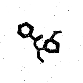 CCN(CC(=O)c1ccccc1)c1cccc(OC)c1